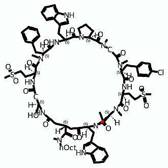 CCCCCCCCN(C)C(=O)[C@@H]1CC(=O)N[C@@H](O)CC(=O)N[C@@H](CCS(C)(=O)=O)C(=O)N(C)[C@@H](Cc2ccccc2)C(=O)N[C@@H](Cc2c[nH]c3ccccc23)C(=O)N2CCC[C@H]2C(=O)N(C)CC(=O)N(C)[C@@H](Cc2ccc(Cl)cc2)C(=O)N[C@@H](CCS(C)(=O)=O)C(=O)N(C)[C@@H]2C(=O)N(C2C)[C@@H](Cc2c[nH]c3ccccc23)C(=O)C1